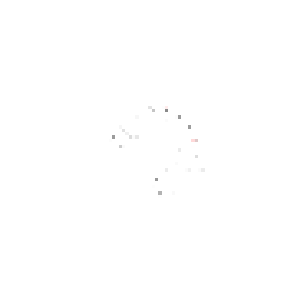 CC(=O)c1ccc(Oc2ccc(C(=O)c3ccc(Oc4ccc(Oc5ccccc5)cc4)cc3)cc2)cc1